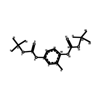 Cc1cc(OC(=O)OC(C)(C)C)ccc1OC(=O)OC(C)(C)C